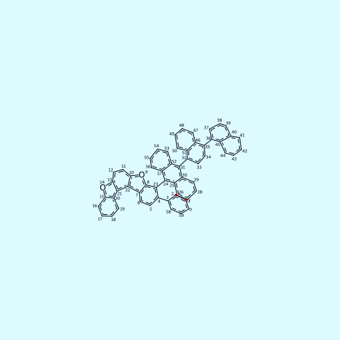 c1ccc(-c2ccc3c(oc4ccc5oc6ccccc6c5c43)c2-c2c3ccccc3c(-c3ccc(-c4cccc5ccccc45)c4ccccc34)c3ccccc23)cc1